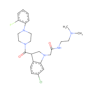 CN(C)CCNC(=O)CN1CC(C(=O)N2CCN(c3ccccc3F)CC2)c2ccc(Cl)cc21